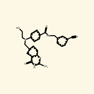 Cc1nc2ccc(CN(CCO)c3ccc(C(=O)NCc4cccc(C#N)c4)cc3)cc2c(=O)[nH]1